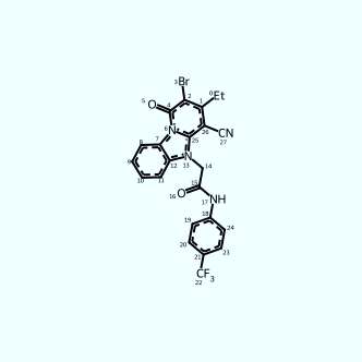 CCc1c(Br)c(=O)n2c3ccccc3n(CC(=O)Nc3ccc(C(F)(F)F)cc3)c2c1C#N